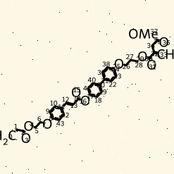 C=CC(=O)OCCOc1ccc(/C=C/C(=O)Oc2ccc(-c3ccc(OCCCOC(=O)C(=C)CC(=O)OC)cc3)cc2)cc1